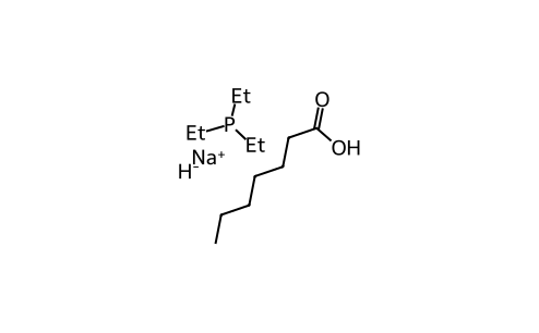 CCCCCCC(=O)O.CCP(CC)CC.[H-].[Na+]